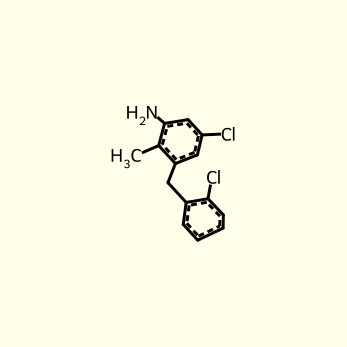 Cc1c(N)cc(Cl)cc1Cc1ccccc1Cl